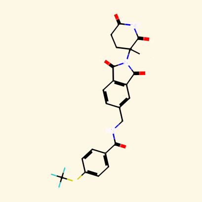 CC1(N2C(=O)c3ccc(CNC(=O)c4ccc(SC(F)(F)F)cc4)cc3C2=O)CCC(=O)NC1=O